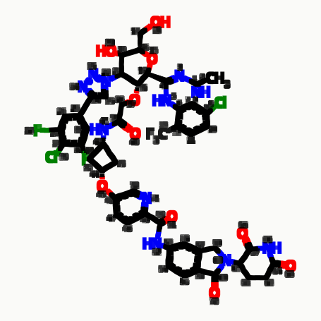 CC(=N)/N=C(\Nc1cc(Cl)ccc1C(F)(F)F)[C@@H]1O[C@H](CO)[C@H](O)[C@H](n2cc(-c3cc(F)c(Cl)c(F)c3)nn2)[C@H]1OCC(=O)N[C@H]1C[C@@H](Oc2ccc(C(=O)Nc3ccc4c(c3)CN(C3CCC(=O)NC3=O)C4=O)nc2)C1